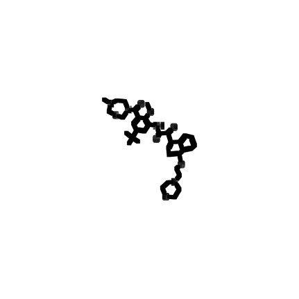 COc1c(NC(=O)C(=O)c2ccc(OCCN3CCOCC3)c3ccccc23)cc(C(C)(C)C)cc1C(=O)N1CCCN(C)CC1